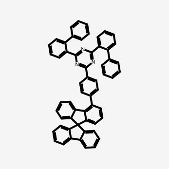 c1ccc(-c2ccccc2-c2nc(-c3ccc(-c4cccc5c4-c4ccccc4C54c5ccccc5-c5ccccc54)cc3)nc(-c3ccccc3-c3ccccc3)n2)cc1